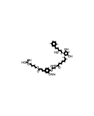 COc1cc(/C=C/C(=O)OCCCCON(O)O)ccc1OC(=O)CNC(=O)CCC/C=C\C[C@@H]1[C@@H](CC[C@@H](O)CCc2ccccc2)[C@H](O)C[C@@H]1O